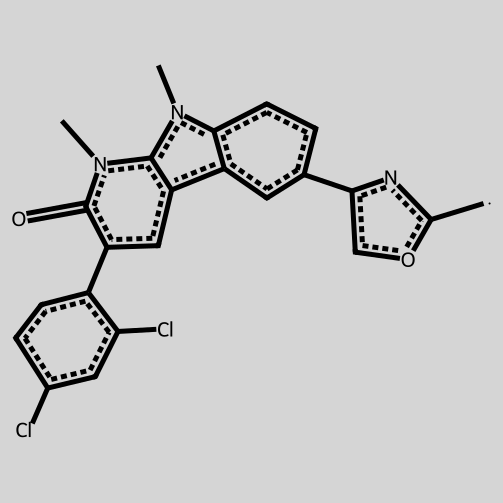 [CH2]c1nc(-c2ccc3c(c2)c2cc(-c4ccc(Cl)cc4Cl)c(=O)n(C)c2n3C)co1